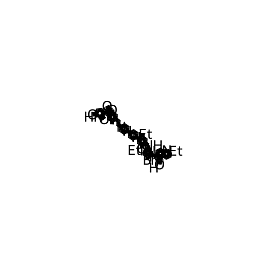 CCOc1cc(N2CCC(N3CCN(CCc4cc5oc(=O)n(C6CCC(=O)NC6=O)c5cc4C)CC3)CC2)c(CC)cc1Nc1ncc(Br)c(Nc2ccc3nc(CC)ccc3c2P(C)(C)=O)n1